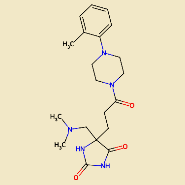 Cc1ccccc1N1CCN(C(=O)CCC2(CN(C)C)NC(=O)NC2=O)CC1